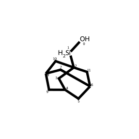 O[SiH2]C12CC3CC(CC(C3)C1)C2